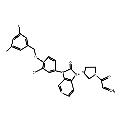 C=CC(=O)N1CC[C@@H](n2c(=O)n(-c3ccc(OCc4cc(F)cc(F)c4)c(Cl)c3)c3cnccc32)C1